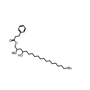 CC(C)(C)CCCCCCCCCCCCCCC(O)CC(COC(=O)CCc1ccccc1)C(C)(C)C